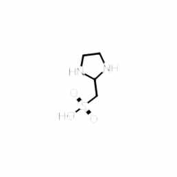 O=S(=O)(O)CC1NCCN1